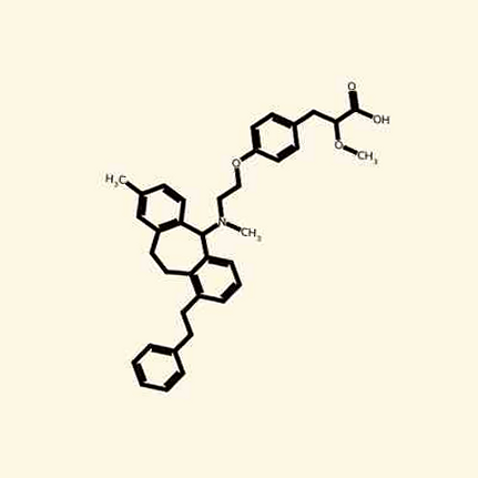 COC(Cc1ccc(OCCN(C)C2c3ccc(C)cc3CCc3c(CCc4ccccc4)cccc32)cc1)C(=O)O